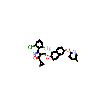 Cc1ccc(Oc2ccc3c(F)c(OCc4c(-c5c(Cl)cccc5Cl)noc4C4CC4)ccc3c2)nc1